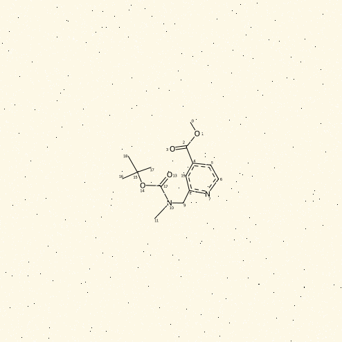 COC(=O)c1ccnc(CN(C)C(=O)OC(C)(C)C)c1